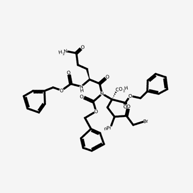 CCCC(C[C@](C(=O)O)(C(=O)OCc1ccccc1)N(C(=O)OCc1ccccc1)C(=O)[C@H](CCC(N)=O)NC(=O)OCc1ccccc1)C(=O)CBr